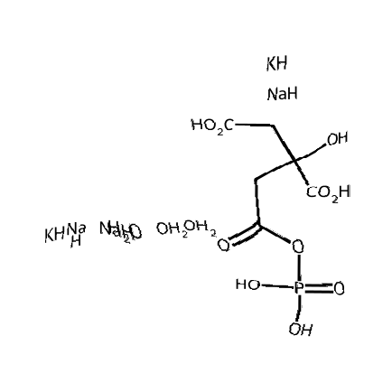 O.O.O.O=C(O)CC(O)(CC(=O)OP(=O)(O)O)C(=O)O.[KH].[KH].[NaH].[NaH].[NaH]